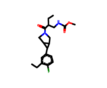 CCc1cc(C2C3CN(C(=O)C(CC)CNC(=O)OC)CC32)ccc1F